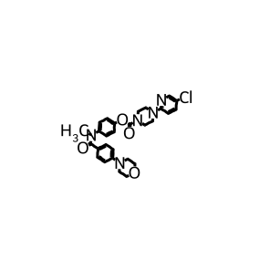 CN(C(=O)c1ccc(N2CCOCC2)cc1)c1ccc(OC(=O)N2CCN(c3ccc(Cl)cn3)CC2)cc1